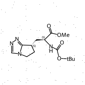 COC(=O)[C@H](C[C@@H]1CCn2cnnc21)NC(=O)OC(C)(C)C